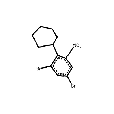 O=[N+]([O-])c1cc(Br)cc(Br)c1C1CCCCC1